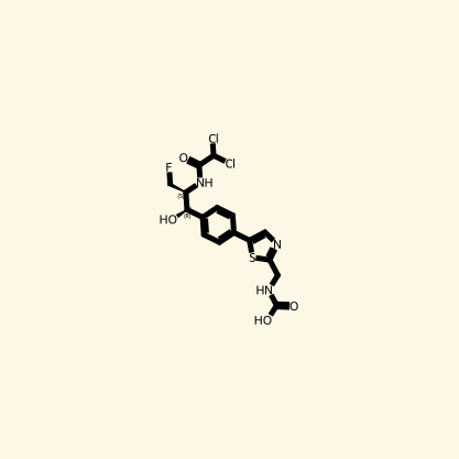 O=C(O)NCc1ncc(-c2ccc([C@@H](O)[C@@H](CF)NC(=O)C(Cl)Cl)cc2)s1